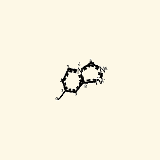 Cc1ccn2[c]nnc2c1